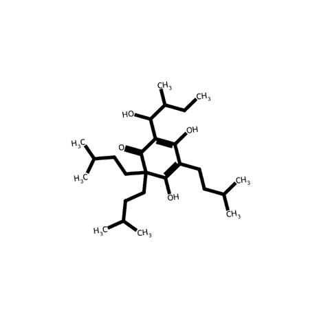 CCC(C)C(O)C1=C(O)C(CCC(C)C)=C(O)C(CCC(C)C)(CCC(C)C)C1=O